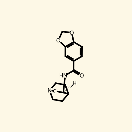 O=C(N[C@@H]1CN2CCC1CC2)c1ccc2c(c1)OCO2